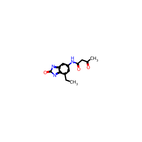 CCc1cc(NC(=O)CC(C)=O)cc2c1=NC(=O)N=2